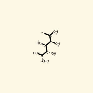 O=C[C@H](O)[C@@H](O)[C@@H](O)[C@H](O)C(O)I